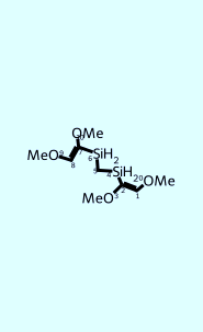 COC=C(OC)[SiH2]C[SiH2]C(=COC)OC